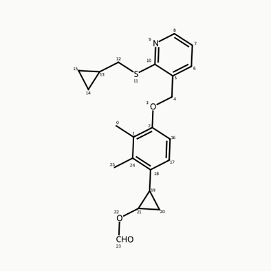 Cc1c(OCc2cccnc2SCC2CC2)ccc(C2CC2OC=O)c1C